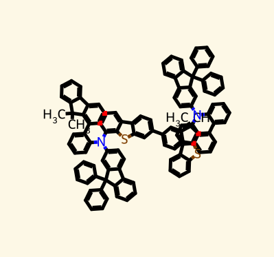 CC1(C)c2cc(-c3ccc4c(c3)sc3c(N(c5ccc6c(c5)C(c5ccccc5)(c5ccccc5)c5ccccc5-6)c5ccccc5-c5cccc6c5C(C)(C)c5ccccc5-6)cccc34)ccc2-c2cccc(-c3ccccc3N(c3ccc4c(c3)C(c3ccccc3)(c3ccccc3)c3ccccc3-4)c3ccc4c(c3)sc3ccccc34)c21